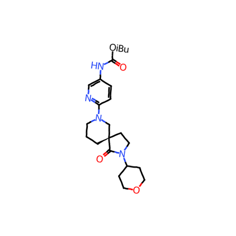 CC(C)COC(=O)Nc1ccc(N2CCC[C@]3(CCN(C4CCOCC4)C3=O)C2)nc1